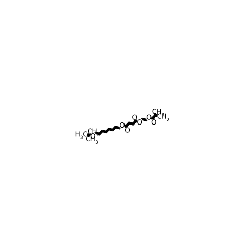 C=C(C)C(=O)OCCOC(=O)CCC(=O)OCCCCCCCCOC(C)(C)C